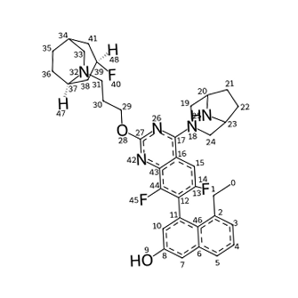 CCc1cccc2cc(O)cc(-c3c(F)cc4c(N5CC6CCC(C5)N6)nc(OCCCN5CC6CC[C@@H]5C[C@H](F)C6)nc4c3F)c12